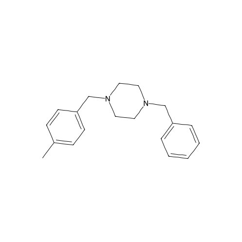 Cc1ccc(CN2CCN(Cc3ccccc3)CC2)cc1